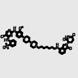 COc1cc(N2CCC(N3CCN(CCCCCCCNc4cccc5c4CN(C4CCC(=O)NC4=O)C5=O)CC3)CC2)ccc1Nc1ncc(Cl)c(Nc2ccccc2P(C)(C)=O)n1